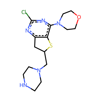 Clc1nc2c(c(N3CCOCC3)n1)SC(CN1CCNCC1)C2